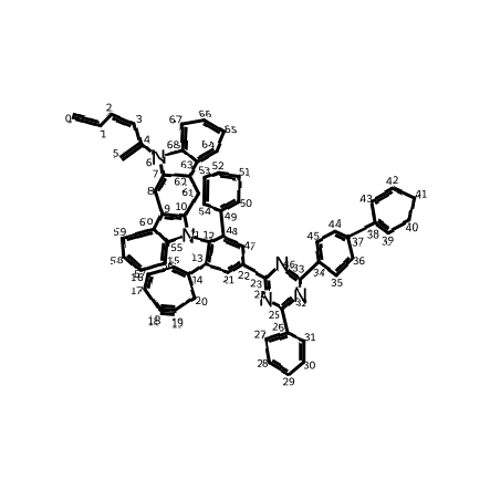 C=C/C=C\C(=C)N1C2=Cc3c(n(-c4c(C5=CC=CC#CC5)cc(-c5nc(-c6ccccc6)nc(-c6ccc(C7=CCCC=C7)cc6)n5)cc4-c4ccccc4)c4ccccc34)CC2c2ccccc21